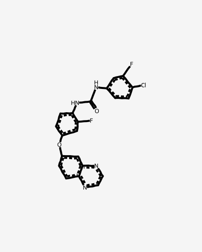 O=C(Nc1ccc(Cl)c(F)c1)Nc1ccc(Oc2ccc3nccnc3c2)cc1F